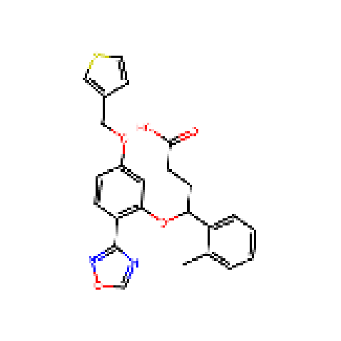 Cc1ccccc1C(CCC(=O)O)Oc1cc(OCc2ccsc2)ccc1-c1ncon1